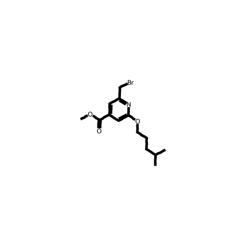 COC(=O)c1cc(CBr)nc(OCCCC(C)C)c1